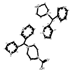 O=C(O)N1CCN(C(c2cccnc2)c2cccnc2)CC1.c1cncc(C(c2cccnc2)N2CCNCC2)c1